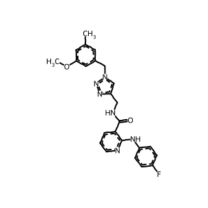 COc1cc(C)cc(Cn2cc(CNC(=O)c3cccnc3Nc3ccc(F)cc3)nn2)c1